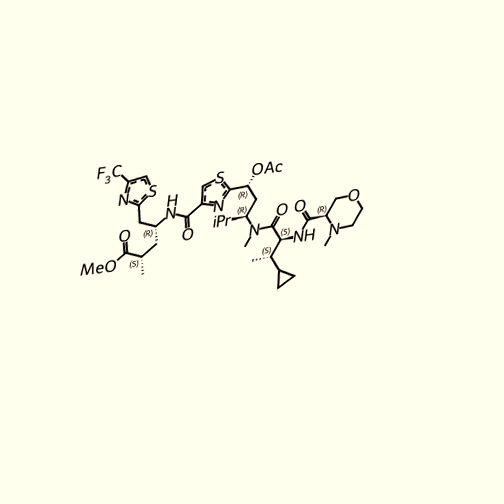 COC(=O)[C@@H](C)C[C@H](Cc1nc(C(F)(F)F)cs1)NC(=O)c1csc([C@@H](C[C@H](C(C)C)N(C)C(=O)[C@@H](NC(=O)[C@H]2COCCN2C)[C@@H](C)C2CC2)OC(C)=O)n1